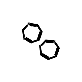 C1=CC=NCN=C1.C1=CN=CSC=C1